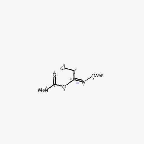 CNC(=O)O/C(CCl)=N/OC